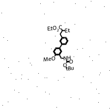 CCOC(=O)C(CC)Cc1cccc(-c2ccc(OC)c(CNC(=O)OC(C)(C)C)c2)c1